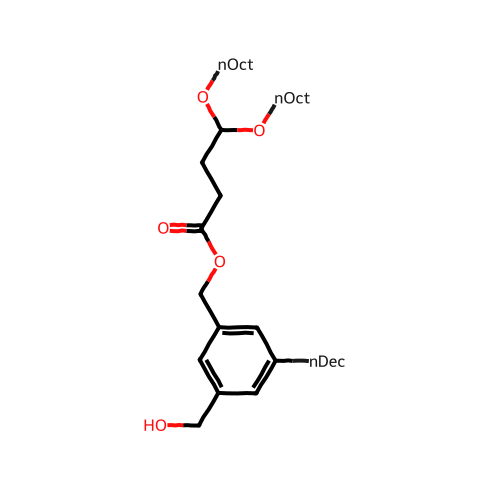 C[CH]CCCCCCCCc1cc(CO)cc(COC(=O)CCC(OCCCCCCCC)OCCCCCCCC)c1